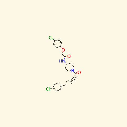 O=C(COc1ccc(Cl)cc1)NC1CCN(C(=O)[C@@H]2C[C@@H]2CCc2ccc(Cl)cc2)CC1